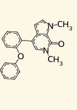 Cn1cc(-c2ccccc2Oc2ccccc2)c2ccn(C)c2c1=O